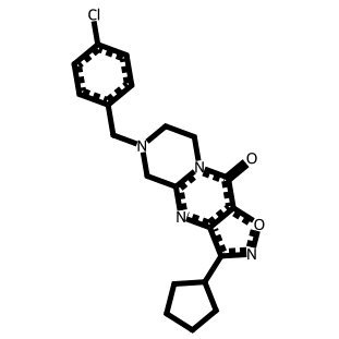 O=c1c2onc(C3CCCC3)c2nc2n1CCN(Cc1ccc(Cl)cc1)C2